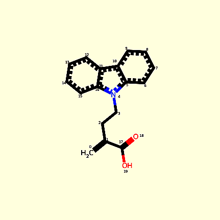 C=C(CCn1c2ccccc2c2ccccc21)C(=O)O